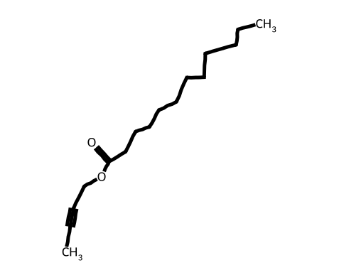 CC#CCOC(=O)CCCCCCCCCCC